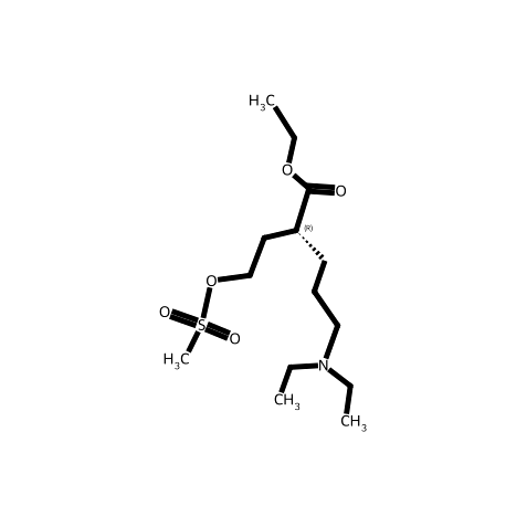 CCOC(=O)[C@H](CCCN(CC)CC)CCOS(C)(=O)=O